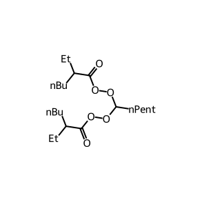 CCCCCC(OOC(=O)C(CC)CCCC)OOC(=O)C(CC)CCCC